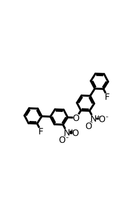 O=[N+]([O-])c1cc(-c2ccccc2F)ccc1Oc1ccc(-c2ccccc2F)cc1[N+](=O)[O-]